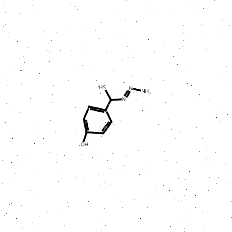 NN=NC(S)c1ccc(O)cc1